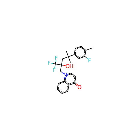 Cc1ccc(C(C)(C)CC(O)(Cn2ccc(=O)c3ccccc32)C(F)(F)F)cc1F